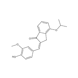 COc1cc(C=C2Cc3c(OC(C)C)cccc3C2=O)ccc1O